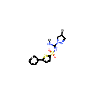 CCN/C(=N\S(=O)(=O)c1ccc(-c2ccccc2)s1)N1CC(CC)C=N1